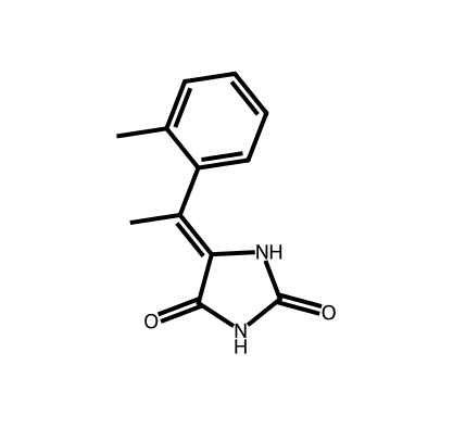 C/C(=C1/NC(=O)NC1=O)c1ccccc1C